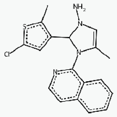 CC1=CN(N)C(c2cc(Cl)sc2C)N1c1nccc2ccccc12